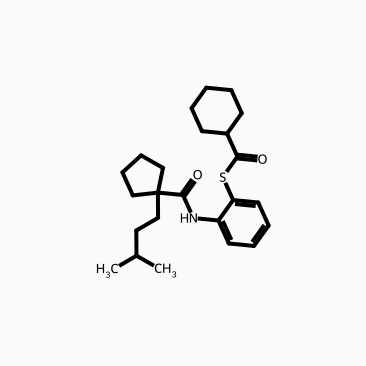 CC(C)CCC1(C(=O)Nc2ccccc2SC(=O)C2CCCCC2)CCCC1